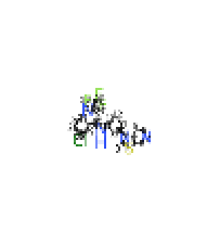 CC1SC2=C(CCN=C2)N1[C@@H]1CCC[C@H](Nc2cc(C(F)(F)F)nc3ccc(Cl)cc23)C1